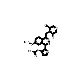 COc1ccc2c(Cc3c(Cl)cncc3Cl)nnc(-c3sccc3OC(=O)O)c2c1